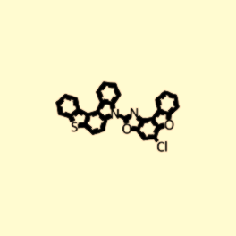 Clc1cc2oc(-n3c4ccccc4c4c5c(ccc43)sc3ccccc35)nc2c2c1oc1ccccc12